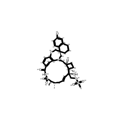 C[C@@H]1[C@@H](C)C/C=C/[C@@](O)(COS(C)(=O)=O)[C@@H]2CC[C@H]2CN2C[C@@]3(CCCc4cc(Cl)ccc43)COc3ccc(cc32)C(=O)NS1(=O)=O